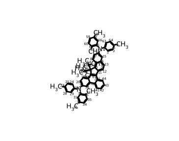 Cc1ccc(N(c2ccc3c4c(ccc3c2)-c2c(c3ccc(N(c5ccc(C)cc5)c5cc(C)ccc5C)cc3c3ccccc23)C4(C(C)(C)C)C(C)(C)C)c2cc(C)ccc2C)cc1